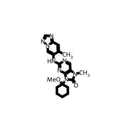 COC1(n2c(=O)n(C)c3cnc(Nc4cn5ncnc5cc4C)nc32)CCCCC1